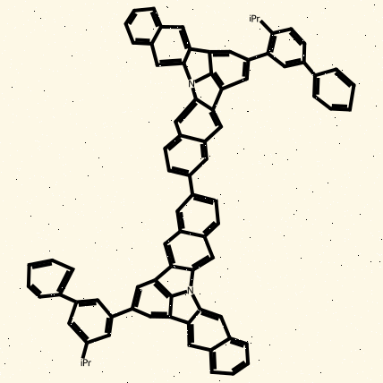 CC(C)c1cc(-c2ccccc2)cc(-c2cc3c4cc5ccccc5cc4n4c5cc6ccc(-c7ccc8cc9c(cc8c7)c7cc(-c8cc(-c%10ccccc%10)ccc8C(C)C)cc8c%10cc%11ccccc%11cc%10n9c87)cc6cc5c(c2)c34)c1